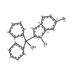 CCn1c(C(O)(c2ccccc2)c2ccccc2)nc2ccc(Br)cc21